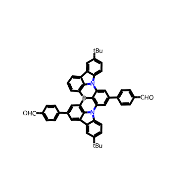 CC(C)(C)c1ccc2c(c1)c1cccc3c1n2-c1cc(-c2ccc(C=O)cc2)cc2c1B3c1cc(-c3ccc(C=O)cc3)cc3c4cc(C(C)(C)C)ccc4n-2c13